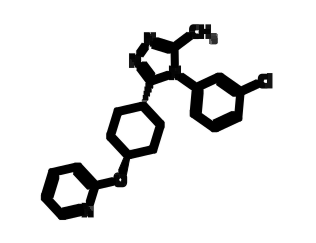 Cc1nnc([C@H]2CC[C@H](Oc3ccccn3)CC2)n1-c1cccc(Cl)c1